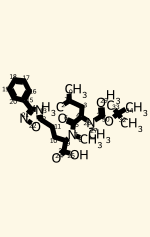 CC(C)CC(C(=O)N(C)C(CCc1nc(-c2ccccc2)no1)C(=O)O)N(C)C(=O)OC(C)(C)C